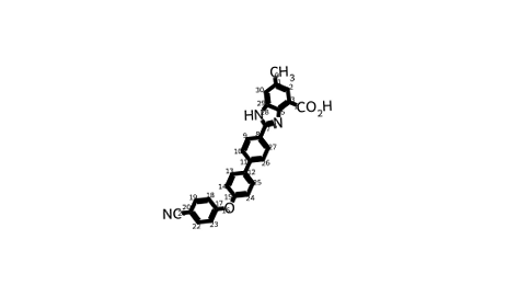 Cc1cc(C(=O)O)c2nc(-c3ccc(-c4ccc(Oc5ccc(C#N)cc5)cc4)cc3)[nH]c2c1